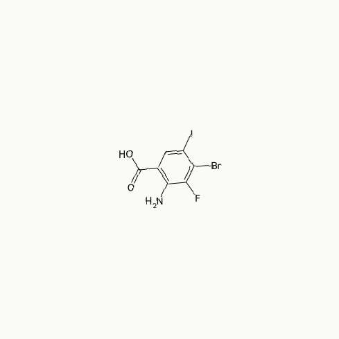 Nc1c(C(=O)O)cc(I)c(Br)c1F